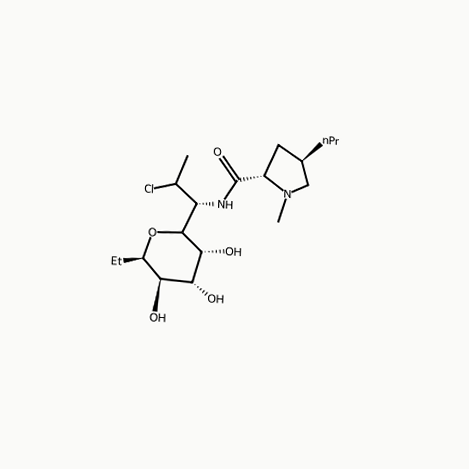 CCC[C@@H]1C[C@@H](C(=O)N[C@@H](C(C)Cl)C2O[C@H](CC)[C@H](O)[C@@H](O)[C@H]2O)N(C)C1